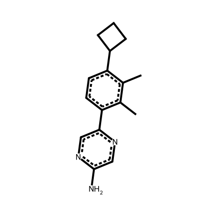 Cc1c(-c2cnc(N)cn2)ccc(C2CCC2)c1C